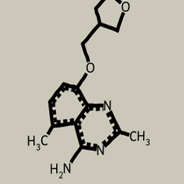 Cc1nc(N)c2c(C)ccc(OCC3CCOC3)c2n1